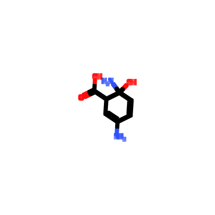 NC1=CC(C(=O)O)C(N)(O)C=C1